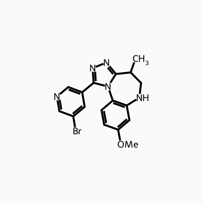 COc1ccc2c(c1)NCC(C)c1nnc(-c3cncc(Br)c3)n1-2